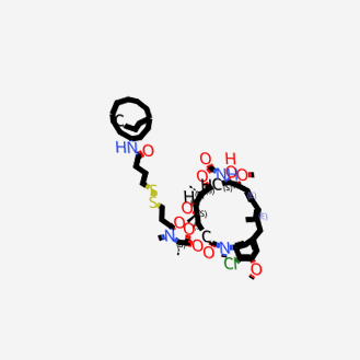 COc1cc2cc(c1Cl)N(C)C(=O)C[C@H](OC(=O)[C@H](C)N(C)C(=O)CCSSCCCC(=O)NC1CCC3CCCCC(CCCC3)CC1)[C@]1(C)O[C@H]1[C@H](C)[C@@H]1C[C@@](O)(NC(=O)O1)[C@H](OC)/C=C/C=C(\C)C2